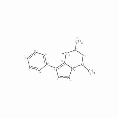 CC1CC(C)n2ncc(-c3ccccc3)c2N1